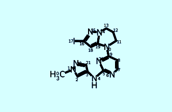 Cn1cc(Nc2nccc(N3CCCn4nc(I)cc43)n2)cn1